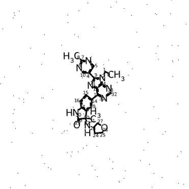 CCn1c(-c2cnc(C)nc2)nc2c(-c3ccc4c(c3)[C@](C)(N[C@H]3CCOC3)C(=O)N4)ncnc21